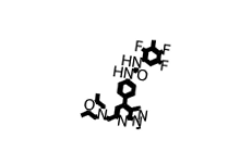 Cc1c(F)c(F)cc(NC(=O)Nc2ccc(-c3cc(CN4CC(C)OC(C)C4)nc4c3cnn4C)cc2)c1F